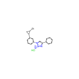 CCC1CC1c1cccc(-n2cc(-c3ccccc3)nn2)c1.Cl.N